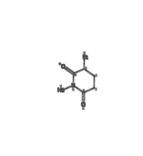 CCC1CCC(=O)N(S)C1=O